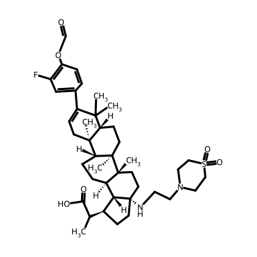 CC(C(=O)O)[C@@H]1CC[C@]2(NCCN3CCS(=O)(=O)CC3)CC[C@]3(C)[C@H](CC[C@@H]4[C@@]5(C)CC=C(c6ccc(OC=O)c(F)c6)C(C)(C)[C@@H]5CC[C@]43C)[C@@H]12